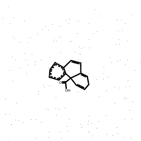 O=C(O)C12C=CCC=C1C=Cc1ccccc12